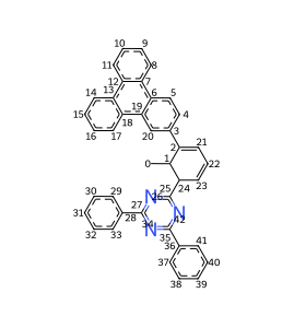 CC1C(c2ccc3c4ccccc4c4ccccc4c3c2)=CC=CC1c1nc(-c2ccccc2)nc(-c2ccccc2)n1